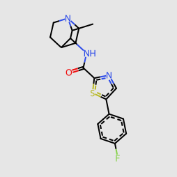 CC1C(NC(=O)c2ncc(-c3ccc(F)cc3)s2)C2CCN1CC2